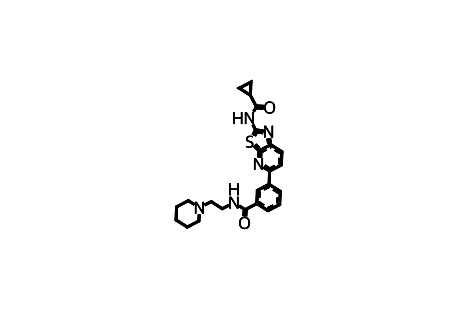 O=C(NCCN1CCCCC1)c1cccc(-c2ccc3nc(NC(=O)C4CC4)sc3n2)c1